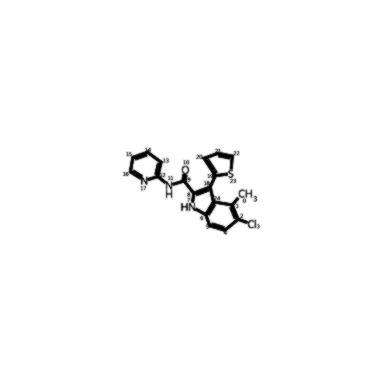 Cc1c(Cl)ccc2[nH]c(C(=O)Nc3ccccn3)c(-c3cccs3)c12